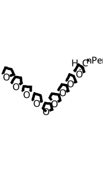 C1CCOC1.C1CCOC1.C1CCOC1.C1CCOC1.C1CCOC1.C1CCOC1.C1CCOC1.C1CCOC1.C1CCOC1.CCCCCC